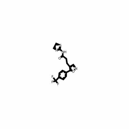 O=C(CCc1cnoc1-c1ccc(C(F)(F)F)cc1)Nc1nccs1